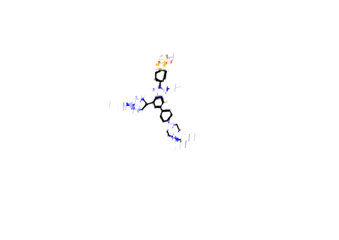 CNc1ncc(-c2cc(-c3ccc(N4CCN(C(C)C)CC4)cc3)cc3c2nc(-c2ccc(S(C)(=O)=O)cc2)n3C)cn1